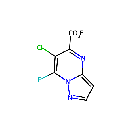 CCOC(=O)c1nc2ccnn2c(F)c1Cl